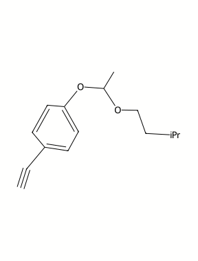 C#Cc1ccc(OC(C)OCCC(C)C)cc1